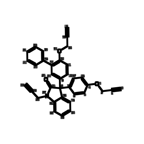 C#CCOc1ccc(C2(c3ccc(OCC#C)c(-c4ccccc4)c3)C(=O)N(CC#C)c3ccccc32)cc1